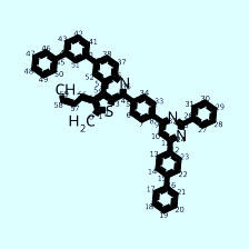 C=c1sc2c(-c3ccc(-c4cc(-c5ccc(-c6ccccc6)cc5)nc(-c5ccccc5)n4)cc3)nc3ccc(-c4cccc(-c5ccccc5)c4)cc3c2/c1=C/C=C\C